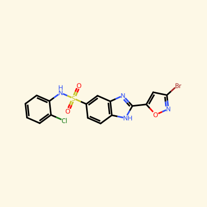 O=S(=O)(Nc1ccccc1Cl)c1ccc2[nH]c(-c3cc(Br)no3)nc2c1